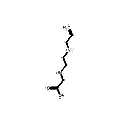 C=CCNCCNCC(=O)O